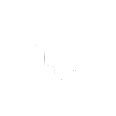 Cc1cc(CCCI)no1